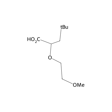 COCCOC(CC(C)(C)C)C(=O)O